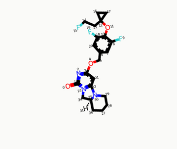 O=c1nc(OCc2cc(F)c(OC3(CCF)CC3)c(F)c2)cc2n1C[C@@H]1CCCCN21